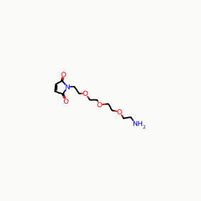 NCCOCCOCCOCCN1C(=O)C=CC1=O